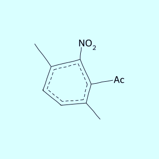 CC(=O)c1c(C)ccc(C)c1[N+](=O)[O-]